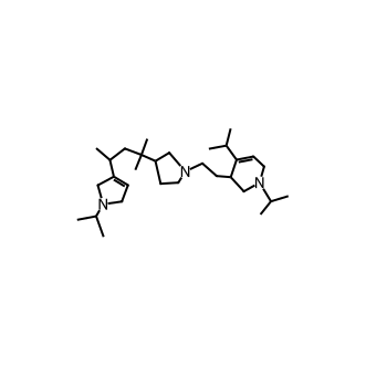 CC(C)C1=CCN(C(C)C)CC1CCN1CCC(C(C)(C)CC(C)C2=CCN(C(C)C)C2)C1